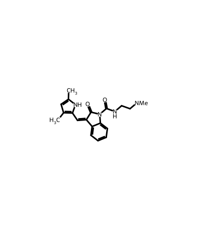 CNCCNC(=O)N1C(=O)/C(=C\c2[nH]c(C)cc2C)c2ccccc21